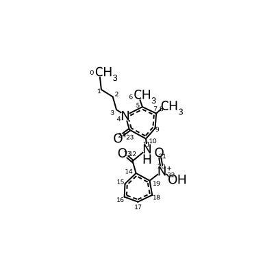 CCCCn1c(C)c(C)cc(NC(=O)c2ccccc2[N+](=O)O)c1=O